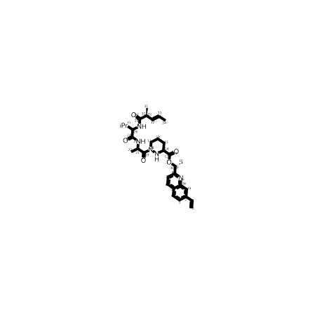 C=Cc1ccc2ccc([C@@H](C)OC(=O)C3CCCN(C(=O)C(C)NC(=O)C(NC(=O)[C@@H](C)/C=C/C)C(C)C)N3)nc2c1